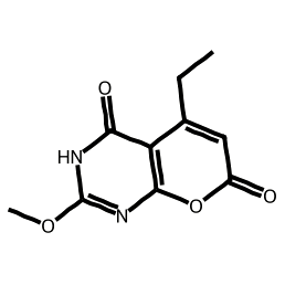 CCc1cc(=O)oc2nc(OC)[nH]c(=O)c12